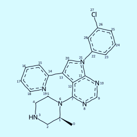 C[C@H]1CNCCN1c1ncnc2c1c(-c1ccccn1)cn2-c1cccc(Cl)c1